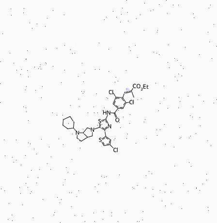 CCOC(=O)/C(C)=C/c1c(Cl)cc(C(=O)Nc2nc(-c3cc(Cl)cs3)c(N3CC4CCN(C5CCCCC5)C4C3)s2)cc1Cl